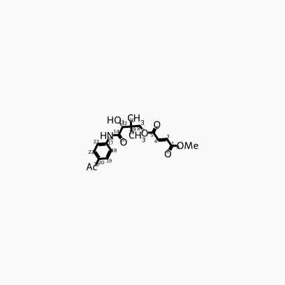 COC(=O)/C=C/C(=O)OCC(C)(C)[C@@H](O)C(=O)Nc1ccc(C(C)=O)cc1